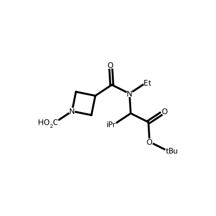 CCN(C(=O)C1CN(C(=O)O)C1)C(C(=O)OC(C)(C)C)C(C)C